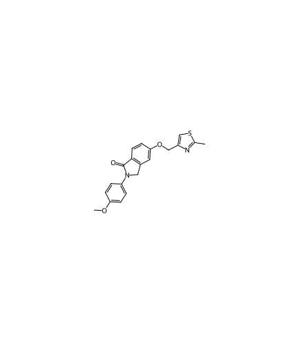 COc1ccc(N2Cc3cc(OCc4csc(C)n4)ccc3C2=O)cc1